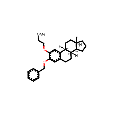 COCCOc1cc2c(cc1OCc1ccccc1)CC[C@@H]1[C@@H]2CC[C@]2(C)CCC[C@@H]12